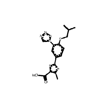 Cc1nc(-c2ccc(OCC(C)C)c(-n3cnnn3)c2)sc1C(=O)O